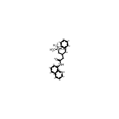 C[Si](C)(C)CC(CC(=O)Nc1cccc2cccnc12)Cc1ccccc1